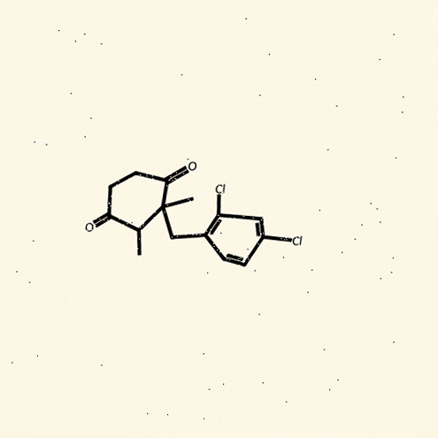 CC1C(=O)CCC(=O)C1(C)Cc1ccc(Cl)cc1Cl